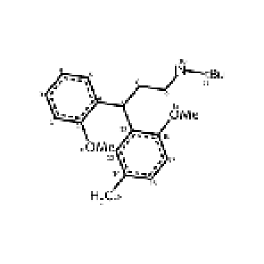 COc1ccccc1C(CCNC(C)(C)C)c1cc(C)ccc1OC